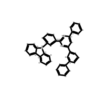 c1ccc(-c2cccc(-c3cc(-c4ccccc4)nc(-c4cccc(-n5c6ccccc6c6ccccc65)c4)n3)c2)cc1